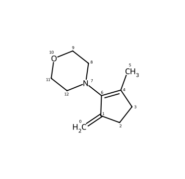 C=C1CCC(C)=C1N1CCOCC1